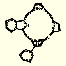 C1=Cc2cc3cc(-c4ccccc4)c(cc4nc(cc5ccc(cc1n2)[nH]5)-c1ccccc1-4)[nH]3